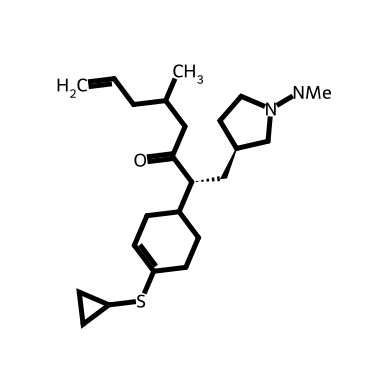 C=CCC(C)CC(=O)[C@H](C[C@H]1CCN(NC)C1)C1CC=C(SC2CC2)CC1